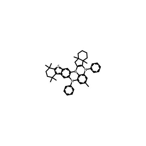 Cc1cc2c3c(c1)N(c1ccccc1)c1cc4c5c(sc4cc1B3C1=C(N2c2ccccc2)C2(C)CCCCC2(C)C1)C(C)(C)CCC5(C)C